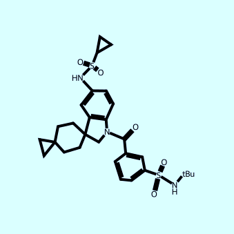 CC(C)(C)NS(=O)(=O)c1cccc(C(=O)N2CC3(CCC4(CC4)CC3)c3cc(NS(=O)(=O)C4CC4)ccc32)c1